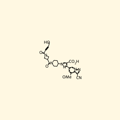 COc1cc(-c2nn(C3CCN(C(=O)C4CN(C(=O)C#CCO)C4)CC3)cc2C(=O)O)cn2ncc(C#N)c12